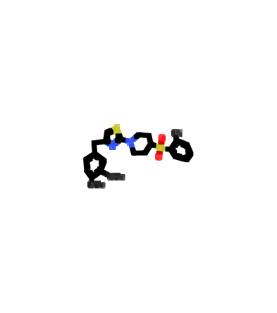 COc1ccc(Cc2csc(N3CCC(S(=O)(=O)c4ccccc4C#N)CC3)n2)cc1OC